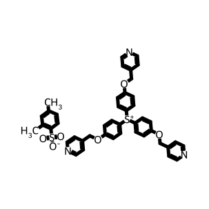 Cc1ccc(S(=O)(=O)[O-])c(C)c1.c1cc(COc2ccc([S+](c3ccc(OCc4ccncc4)cc3)c3ccc(OCc4ccncc4)cc3)cc2)ccn1